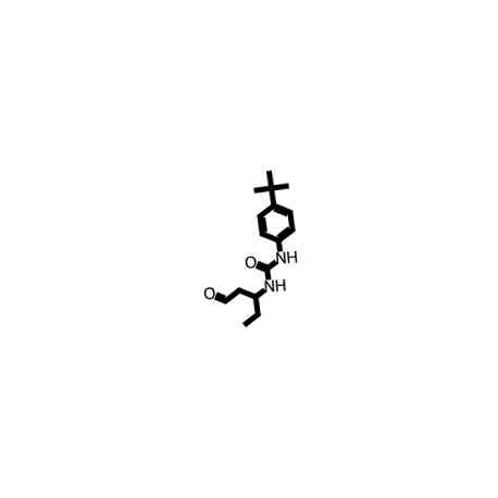 CCC(CC=O)NC(=O)Nc1ccc(C(C)(C)C)cc1